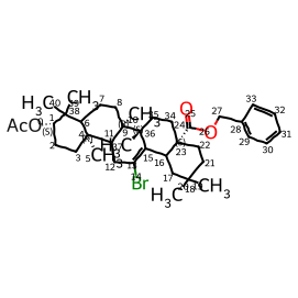 CC(=O)O[C@H]1CC[C@@]2(C)C(CC[C@]3(C)C2CC(Br)=C2C4CC(C)(C)CC[C@]4(C(=O)OCc4ccccc4)CC[C@]23C)C1(C)C